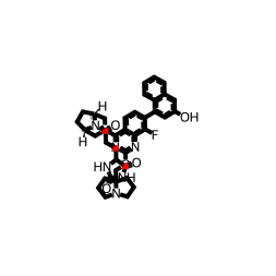 O=C1NC(=O)C(CCC(=O)N2[C@@H]3CC[C@H]2CN(c2nc(OCC45CCCN4CCC5)nc4c(F)c(-c5cc(O)cc6ccccc56)ccc24)C3)N1